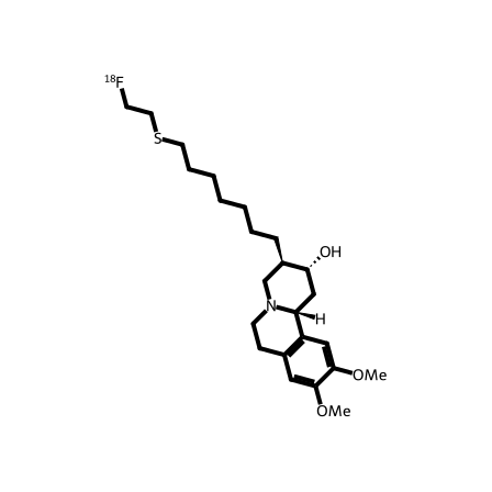 COc1cc2c(cc1OC)[C@H]1C[C@@H](O)[C@H](CCCCCCCSCC[18F])CN1CC2